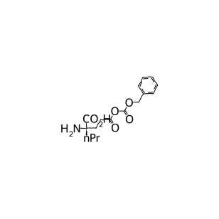 CCC[C@](N)(CCC(=O)OC(=O)OCc1ccccc1)C(=O)O